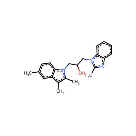 Cc1ccc2c(c1)c(C)c(C)n2CC(O)Cn1c(C(F)(F)F)nc2ccccc21